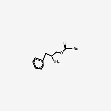 CC(C)(C)C(=O)OC[C@@H](N)Cc1ccccc1